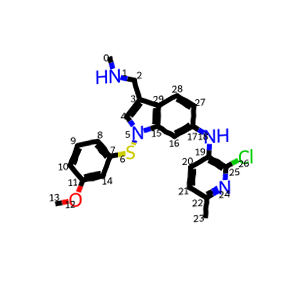 CNCc1cn(Sc2cccc(OC)c2)c2cc(Nc3ccc(C)nc3Cl)ccc12